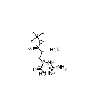 CC(C)(C)OC(=O)CCC(NC(=N)N)C(=O)O.Cl